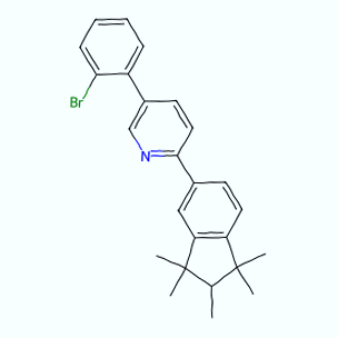 CC1C(C)(C)c2ccc(-c3ccc(-c4ccccc4Br)cn3)cc2C1(C)C